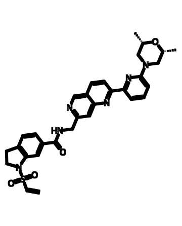 C=CS(=O)(=O)N1CCc2ccc(C(=O)NCc3cc4nc(-c5cccc(N6C[C@@H](C)O[C@@H](C)C6)n5)ccc4cn3)cc21